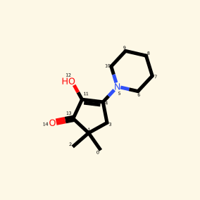 CC1(C)CC(N2CCCCC2)=C(O)C1=O